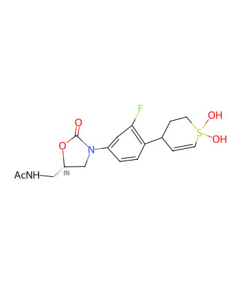 CC(=O)NC[C@H]1CN(c2ccc(C3C=CS(O)(O)CC3)c(F)c2)C(=O)O1